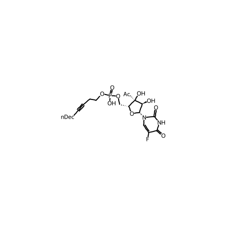 CCCCCCCCCCC#CCCOP(=O)(O)OC[C@H]1O[C@@H](n2cc(F)c(=O)[nH]c2=O)[C@H](O)[C@@]1(O)C(C)=O